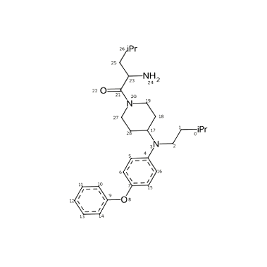 CC(C)CCN(c1ccc(Oc2ccccc2)cc1)C1CCN(C(=O)C(N)CC(C)C)CC1